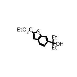 CCOC(=O)c1cc2ccc(C(O)(CC)CC)cc2s1